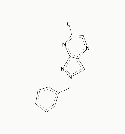 Clc1cnc2cn(Cc3ccccc3)nc2n1